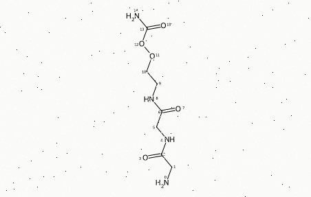 NCC(=O)NCC(=O)NCCOOC(N)=O